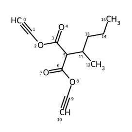 C#COC(=O)C(C(=O)OC#C)C(C)CCC